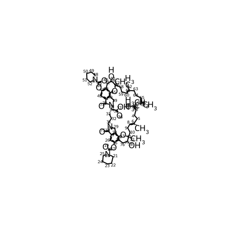 CC(C)=CCC/C(C)=C/CC[C@@]1(C)Oc2c(c(OC(=O)N3CCCCC3)cc3c2CN(CCC[C@@H](C(=O)O)N2Cc4c(cc(OC(=O)N5CCCCC5)c5c4O[C@](C)(CC/C=C(\C)CCC=C(C)C)[C@@H](O)C5)C2=O)C3=O)C[C@@H]1O